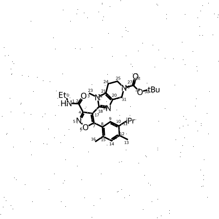 CCNC(=O)c1noc(-c2cc(C(C)C)c(C)cc2C)c1-c1nc2c(n1C)CCN(C(=O)OC(C)(C)C)C2